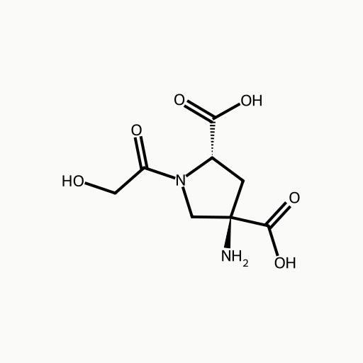 N[C@]1(C(=O)O)C[C@@H](C(=O)O)N(C(=O)CO)C1